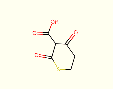 O=C(O)C1C(=O)CCSC1=O